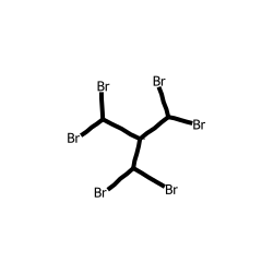 BrC(Br)[C](C(Br)Br)C(Br)Br